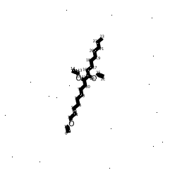 C=COCCCCCCCCC(OC=C)C(CCCCCCCC)OC=C